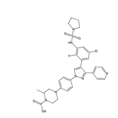 CC1CN(c2ccc(-n3cc(-c4cc(Cl)cc(NS(=O)(=O)N5CCCC5)c4F)c(-c4ccncc4)n3)cc2)CCN1C(=O)O